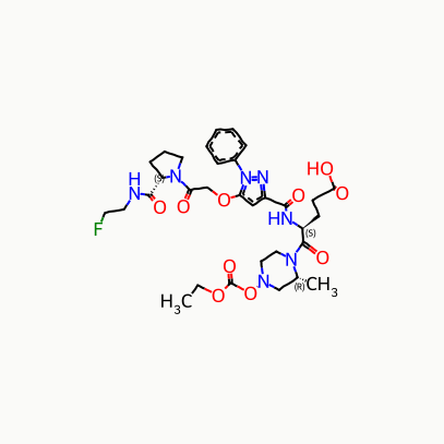 CCOC(=O)ON1CCN(C(=O)[C@H](CCC(=O)O)NC(=O)c2cc(OCC(=O)N3CCC[C@H]3C(=O)NCCF)n(-c3ccccc3)n2)[C@H](C)C1